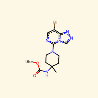 CC1(NC(=O)OC(C)(C)C)CCN(c2ncc(Br)c3nncn23)CC1